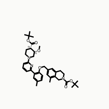 CO[C@@H]1CN(c2cccc(-c3cc(C)ccc3OCc3cc(C)c4c(c3)CCN(C(=O)OC(C)(C)C)C4)n2)CC[C@@H]1C(=O)OC(C)(C)C